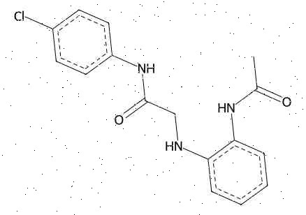 CC(=O)Nc1ccccc1NCC(=O)Nc1ccc(Cl)cc1